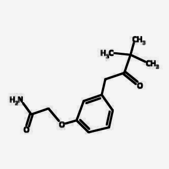 CC(C)(C)C(=O)Cc1cccc(OCC(N)=O)c1